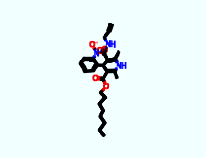 C#CCNC(=O)C1=C(C)NC(C)=C(C(=O)OCCCCCCCC)C1c1ccccc1[N+](=O)[O-]